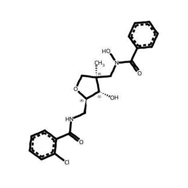 C[C@@]1(CN(O)C(=O)c2ccccc2)CO[C@H](CNC(=O)c2ccccc2Cl)[C@H]1O